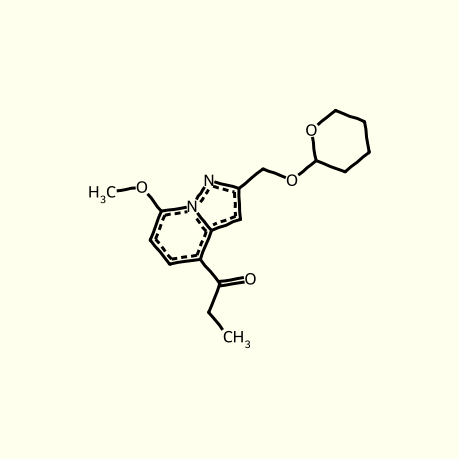 CCC(=O)c1ccc(OC)n2nc(COC3CCCCO3)cc12